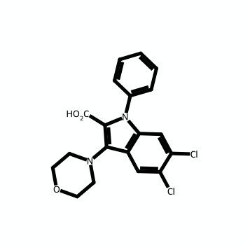 O=C(O)c1c(N2CCOCC2)c2cc(Cl)c(Cl)cc2n1-c1ccccc1